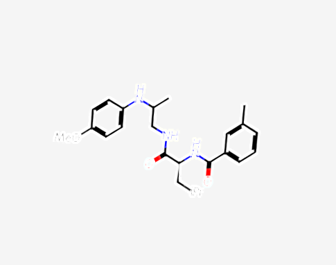 COc1ccc(NC(C)CNC(=O)[C@H](CC(C)C)NC(=O)c2cccc(C)c2)cc1